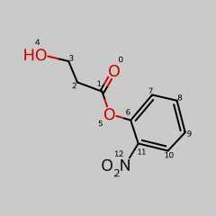 O=C(CCO)Oc1ccccc1[N+](=O)[O-]